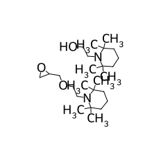 CC1(C)CCCC(C)(C)N1CCO.CC1(C)CCCC(C)(C)N1CCOCC1CO1